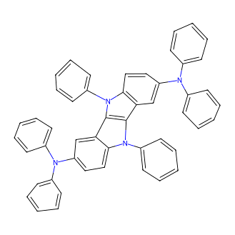 c1ccc(N(c2ccccc2)c2ccc3c(c2)c2c(c4cc(N(c5ccccc5)c5ccccc5)ccc4n2-c2ccccc2)n3-c2ccccc2)cc1